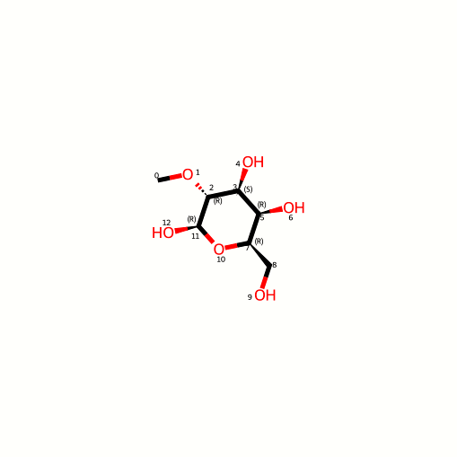 CO[C@@H]1[C@@H](O)[C@@H](O)[C@@H](CO)O[C@H]1O